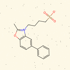 Cc1oc2ccc(-c3ccccc3)cc2[n+]1CCCCS(=O)(=O)[O-]